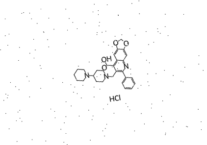 Cl.O=C(O)c1c(CN2CCC(N3CCCCC3)CC2)c(-c2ccccc2)nc2cc3c(cc12)OCO3